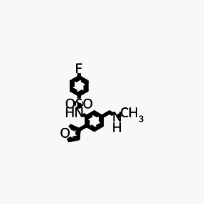 CNCc1ccc(-c2ccoc2)c(NS(=O)(=O)c2ccc(F)cc2)c1